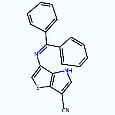 N#Cc1c[nH]c2c(N=C(c3ccccc3)c3ccccc3)csc12